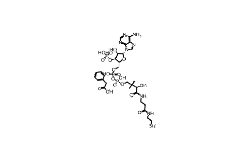 CC(C)(COP(=O)(O)OP(=O)(O)OC[C@H]1O[C@@H](n2cnc3c(N)ncnc32)[C@H](O)[C@@H]1OP(=O)(O)O)[C@@H](O)C(=O)NCCC(=O)NCCS.O=C(O)Cc1ccccc1